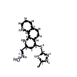 Cc1nnc(Sc2cc(/C=N/O)nc3c2ccc2cccnc23)s1